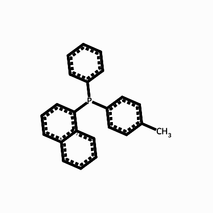 Cc1ccc(P(c2ccccc2)c2cccc3ccccc23)cc1